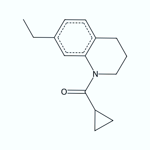 CCc1ccc2c(c1)N(C(=O)C1CC1)CCC2